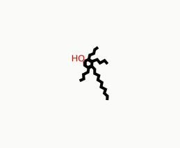 CCCCCCCCCCc1c(CCCC)cc(O)c(CCCC)c1CCCC